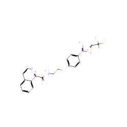 O=C(NCCOc1ccc(-c2noc(C(F)(F)F)n2)cc1)c1nccc2ccccc12